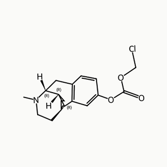 CN1CC[C@]23CCCC[C@H]2[C@H]1Cc1ccc(OC(=O)OCCl)cc13